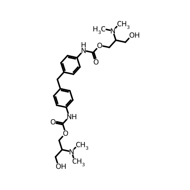 CN(C)C(CO)COC(=O)Nc1ccc(Cc2ccc(NC(=O)OCC(CO)N(C)C)cc2)cc1